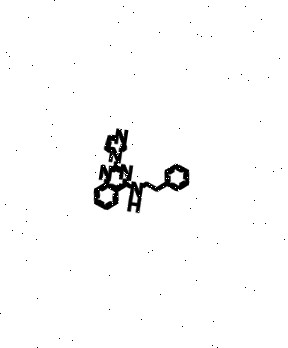 c1ccc(CCNc2nc(-n3ccnc3)nc3ccccc23)cc1